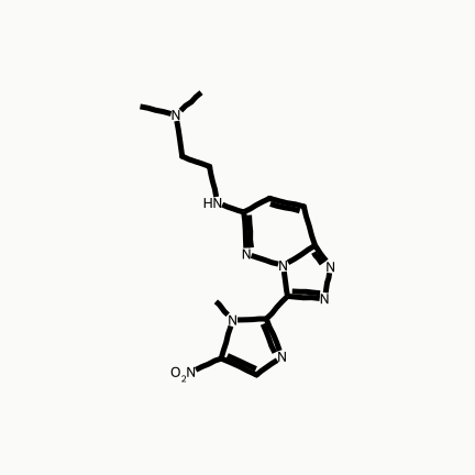 CN(C)CCNc1ccc2nnc(-c3ncc([N+](=O)[O-])n3C)n2n1